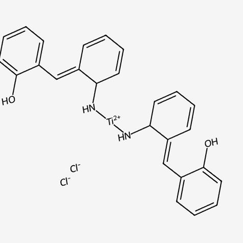 Oc1ccccc1C=C1C=CC=CC1[NH][Ti+2][NH]C1C=CC=CC1=Cc1ccccc1O.[Cl-].[Cl-]